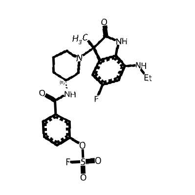 CCNc1cc(F)cc2c1NC(=O)C2(C)N1CCC[C@@H](NC(=O)c2cccc(OS(=O)(=O)F)c2)C1